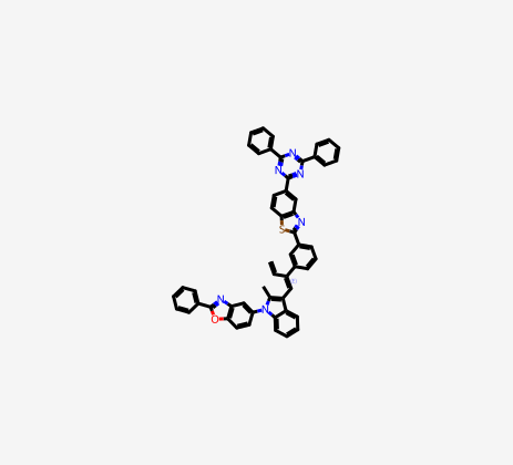 C=C/C(=C\c1c(C)n(-c2ccc3oc(-c4ccccc4)nc3c2)c2ccccc12)c1cccc(-c2nc3cc(-c4nc(-c5ccccc5)nc(-c5ccccc5)n4)ccc3s2)c1